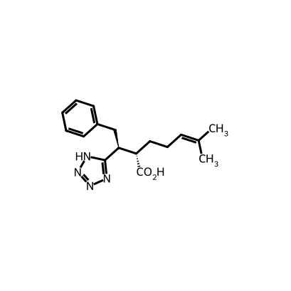 CC(C)=CCC[C@H](C(=O)O)[C@H](Cc1ccccc1)c1nnn[nH]1